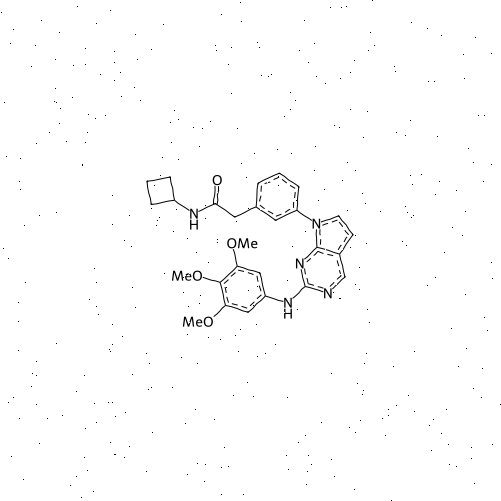 COc1cc(Nc2ncc3ccn(-c4cccc(CC(=O)NC5CCC5)c4)c3n2)cc(OC)c1OC